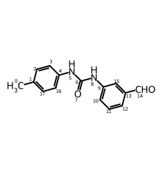 Cc1ccc(NC(=O)Nc2cccc(C=O)c2)cc1